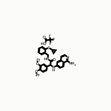 CCOc1cc(C(Nc2ccc3c(N)nccc3c2)C(=O)NCc2ccccc2SC2CC2)ccc1OC(C)C.O=C(O)C(F)(F)F